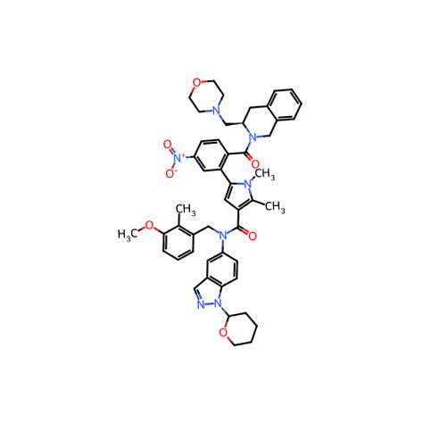 COc1cccc(CN(C(=O)c2cc(-c3cc([N+](=O)[O-])ccc3C(=O)N3Cc4ccccc4C[C@@H]3CN3CCOCC3)n(C)c2C)c2ccc3c(cnn3C3CCCCO3)c2)c1C